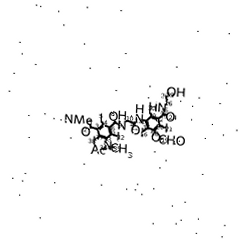 CNC(=O)c1c(I)c(C(=O)NCC(=O)Nc2c(I)c(OC=O)c(I)c(C(=O)NCCO)c2I)c(I)c(N(C)C(C)=O)c1I